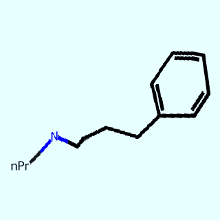 CCC[N]CCCc1ccccc1